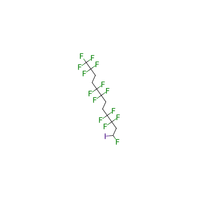 FC(I)CC(F)(F)C(F)(F)CCC(F)(F)C(F)(F)CCC(F)(F)C(F)(F)F